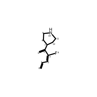 C=C/C=C(/F)C(=C)C1CCNCC1